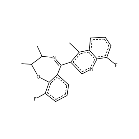 Cc1c(C2=NC(C)C(C)Oc3c(F)cccc32)cnc2c(F)cccc12